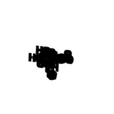 COC(=O)c1ccc(NC(=O)N(C(=O)C(CC(=O)O)CC(C)Cc2ccccc2)[C@@H](CC(C)C)C(=O)O)cc1